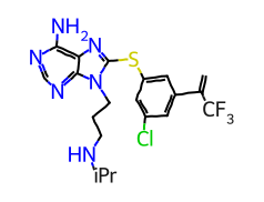 C=C(c1cc(Cl)cc(Sc2nc3c(N)ncnc3n2CCCNC(C)C)c1)C(F)(F)F